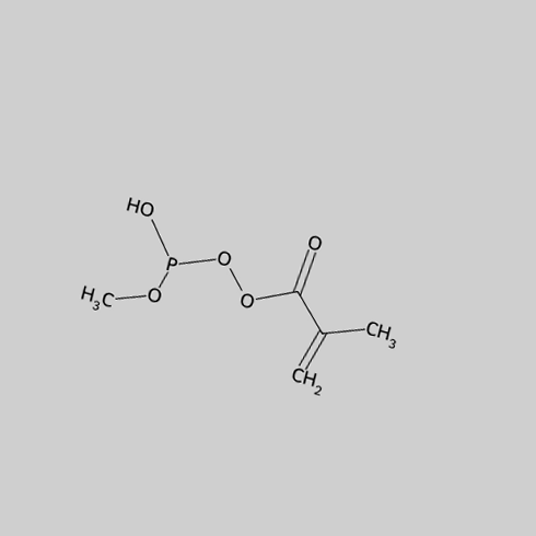 C=C(C)C(=O)OOP(O)OC